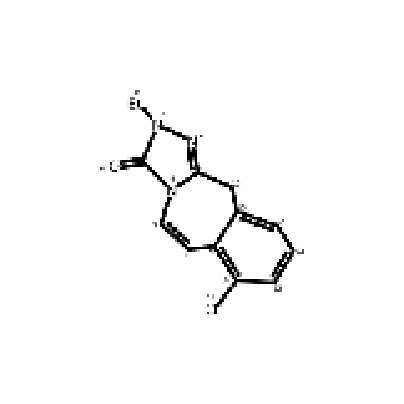 CCn1nc2n(c1=O)C=Cc1c(Cl)cccc1C2